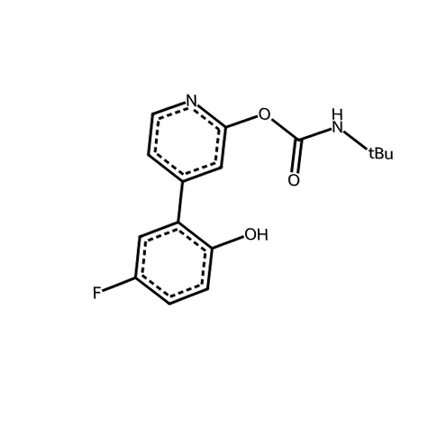 CC(C)(C)NC(=O)Oc1cc(-c2cc(F)ccc2O)ccn1